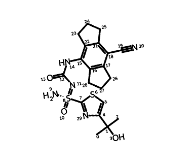 CC(C)(O)c1csc([S@@](N)(=O)=NC(=O)Nc2c3c(c(C#N)c4c2CCC4)CCC3)n1